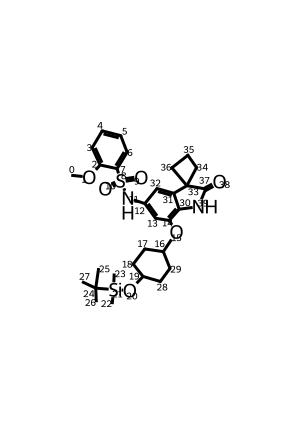 COc1ccccc1S(=O)(=O)Nc1cc(OC2CCC(O[Si](C)(C)C(C)(C)C)CC2)c2c(c1)C1(CCC1)C(=O)N2